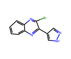 Brc1nc2ccccc2nc1-c1cn[nH]c1